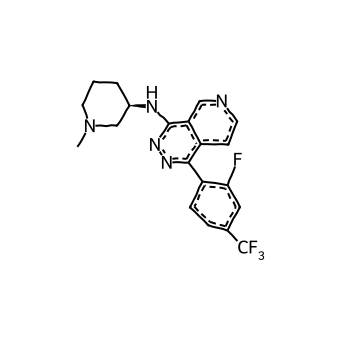 CN1CCC[C@@H](Nc2nnc(-c3ccc(C(F)(F)F)cc3F)c3ccncc23)C1